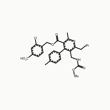 Cc1ccc(-c2c(CNC(=O)OC(C)(C)C)c(CC(C)C)nc(C)c2C(=O)OCc2ccc(C(=O)O)cc2Cl)cc1